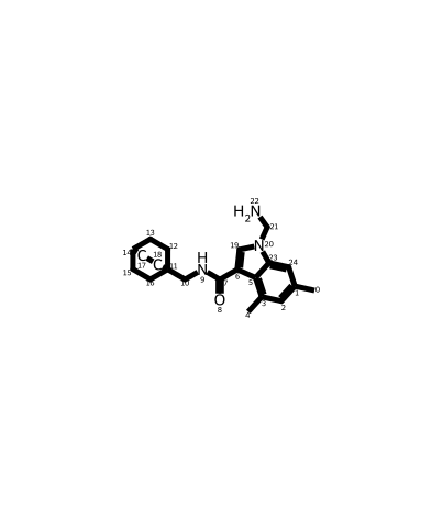 Cc1cc(C)c2c(C(=O)NCC34CCC(CC3)CC4)cn(CN)c2c1